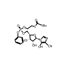 CC(C)(C)C(=O)SCCOP(=O)(OC[C@H]1O[C@@H](n2cnc(C#N)c2O)[C@H](O)[C@@H]1O)Oc1ccccc1